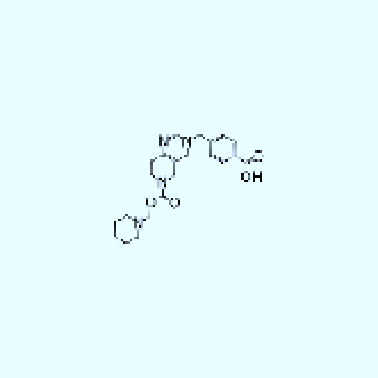 O=C(O)c1ccc(CN2C=NC3=C(C2)CN(C(=O)OCN2CCCCC2)CC3)cc1